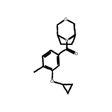 Cc1ccc(C(=O)N2C3CCC2COC3)cc1OC1CC1